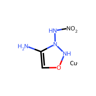 NC1=CONN1N[N+](=O)[O-].[Cu]